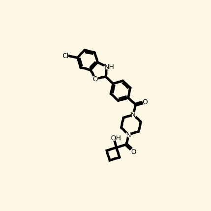 O=C(c1ccc(C2Nc3ccc(Cl)cc3O2)cc1)N1CCN(C(=O)C2(O)CCC2)CC1